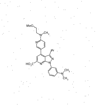 COCCN(C)c1ccc(-c2cc(C(=O)O)nc3c2c(C(C)C)nn3-c2cccc(N(C)C)c2)cn1